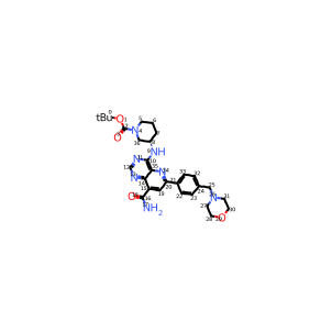 CC(C)(C)OC(=O)N1CCC[C@H](Nc2ncnc3c(C(N)=O)cc(-c4ccc(CN5CCOCC5)cc4)nc23)C1